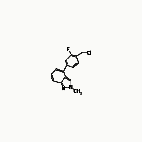 Cn1cc2c(-c3ccc(CCl)c(F)c3)cccc2n1